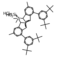 CC1=Cc2c(-c3cc(C(C)(C)C)cc(C(C)(C)C)c3)cc(C)cc2[CH]1[Zr]([CH3])([CH3])(=[SiH2])[CH]1C(C)=Cc2c(-c3cc(C(C)(C)C)cc(C(C)(C)C)c3)cc(C)cc21.Cl.Cl